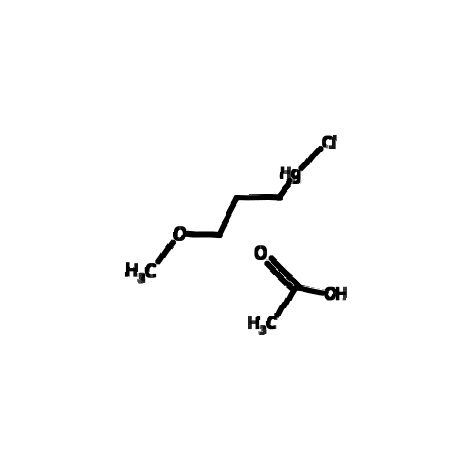 CC(=O)O.COCC[CH2][Hg][Cl]